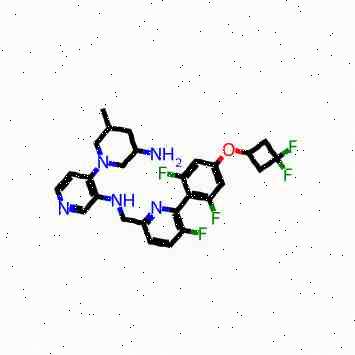 CC1CC(N)CN(c2ccncc2NCc2ccc(F)c(-c3c(F)cc(OC4CC(F)(F)C4)cc3F)n2)C1